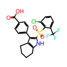 O=C(O)c1ccc(-c2c(S(=O)(=O)c3c(Cl)cccc3C(F)(F)F)[nH]c3c2CCCC3)cc1